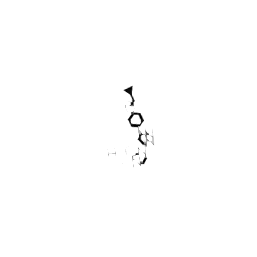 Cc1nccn1-c1cn(-c2ccc(OCC3CC3)cc2)nn1